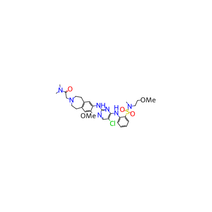 COCCN(C)S(=O)(=O)c1ccccc1Nc1nc(Nc2cc3c(cc2OC)CCN(CC(=O)N(C)C)CC3)ncc1Cl